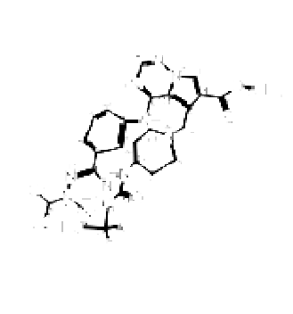 COC(=O)c1cn2ncnc(Nc3cccc(/C(N)=N/N(N)C(C)C)c3)c2c1CN1CCC(NC(=O)OC(C)(C)C)CC1